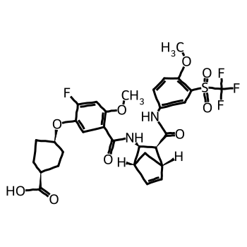 COc1cc(F)c(O[C@H]2CC[C@@H](C(=O)O)CC2)cc1C(=O)N[C@H]1[C@@H](C(=O)Nc2ccc(OC)c(S(=O)(=O)C(F)(F)F)c2)[C@@H]2C=C[C@H]1C2